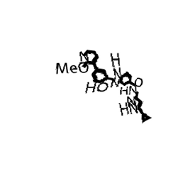 COc1ncccc1-c1ccc(O)c(-c2nc3cc(C(=O)NCc4cc(C5CC5)[nH]n4)ccc3[nH]2)c1